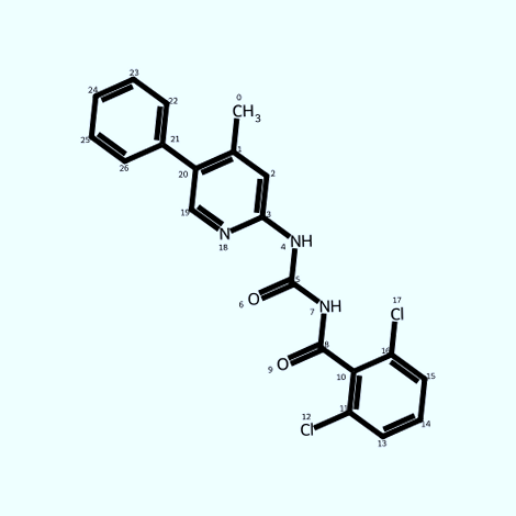 Cc1cc(NC(=O)NC(=O)c2c(Cl)cccc2Cl)ncc1-c1ccccc1